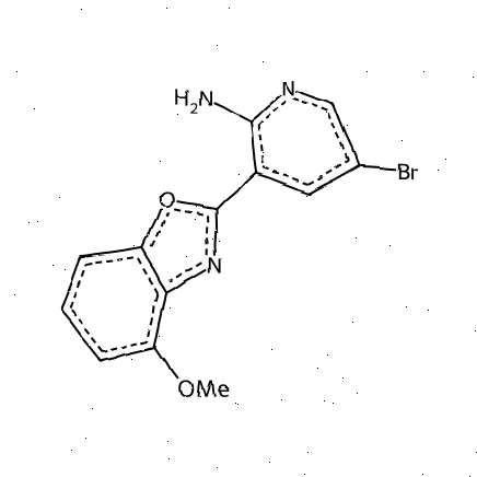 COc1cccc2oc(-c3cc(Br)cnc3N)nc12